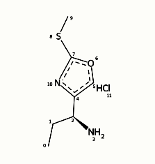 CC[C@H](N)c1coc(SC)n1.Cl